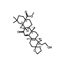 COC(=O)[C@]12CCC(C)(C)C[C@H]1[C@H]1C(=O)C=C3[C@@]4(C)CCC5(OCCO5)[C@@](C)(CCO)[C@@H]4CC[C@@]3(C)[C@]1(C)CC2